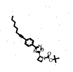 CCCCCCC#Cc1ccc(-c2noc([C@@H]3CCN3C(=O)OC(C)(C)C)n2)cc1